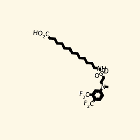 CN(CCS(=O)(=O)NCCCCCCCCCCCCCC(=O)O)c1ccc(C(F)(F)F)c(C(F)(F)F)c1